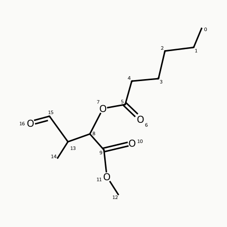 CCCCCC(=O)OC(C(=O)OC)C(C)C=O